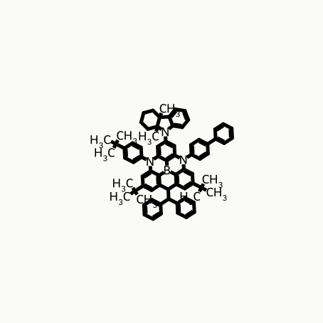 CC(C)(C)c1ccc(N2c3cc(C(C)(C)C)cc4c3B3c5c(cc(C(C)(C)C)cc5N(c5ccc(-c6ccccc6)cc5)c5cc(N6c7ccccc7C7(C)CCCCC67C)cc2c53)C4C(c2ccccc2)c2ccccc2)cc1